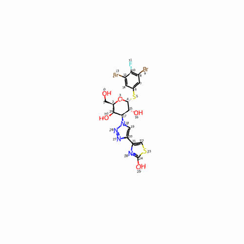 OC[C@H]1O[C@H](Sc2cc(Br)c(F)c(Br)c2)[C@H](O)[C@@H](n2cc(-c3csc(O)n3)nn2)[C@H]1O